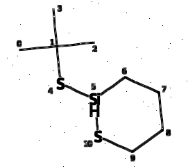 CC(C)(C)S[SiH]1CCCCS1